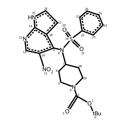 CC(C)(C)OC(=O)N1CCC(N(c2c([N+](=O)[O-])cnc3[nH]ccc23)S(=O)(=O)c2ccccc2)CC1